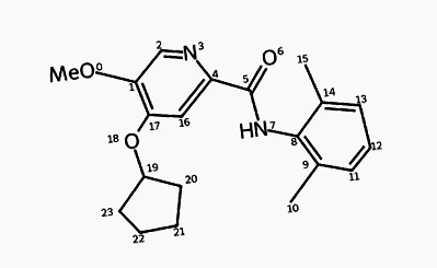 COc1cnc(C(=O)Nc2c(C)cccc2C)cc1OC1CCCC1